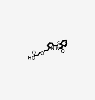 O=C(O)CCOCCc1cccc(-c2nc(=O)c3ccccc3s2)n1